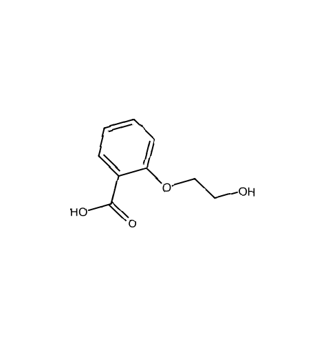 O=C(O)c1ccccc1OCCO